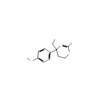 CCC1(c2ccc(OC)cc2)CCSC(N)=N1